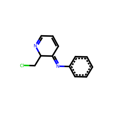 ClCC1N=CC=CC1=Nc1ccccc1